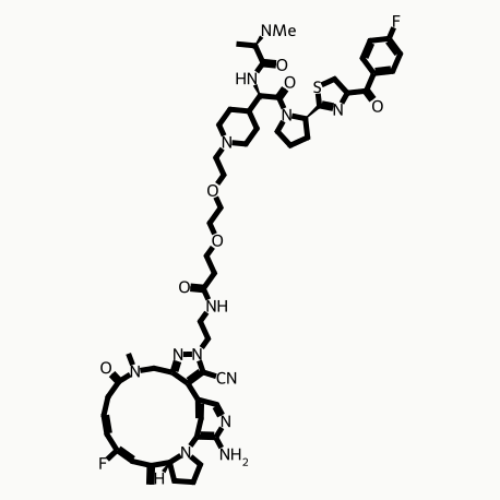 C=C1/C=C(F)\C=C/CC(=O)N(C)Cc2nn(CCNC(=O)CCOCCOCCN3CCC([C@@H](NC(=O)[C@@H](C)NC)C(=O)N4CCC[C@@H]4C4=NC(C(=O)c5ccc(F)cc5)CS4)CC3)c(C#N)c2-c2cnc(N)c(c2)N2CCC[C@H]12